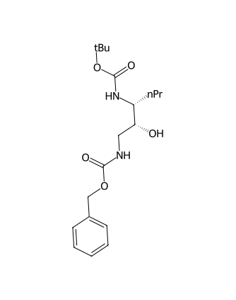 CCC[C@@H](NC(=O)OC(C)(C)C)[C@H](O)CNC(=O)OCc1ccccc1